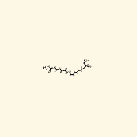 CCCC(CO)CCCCCC/C=C\CCCCCCCC(N)=O